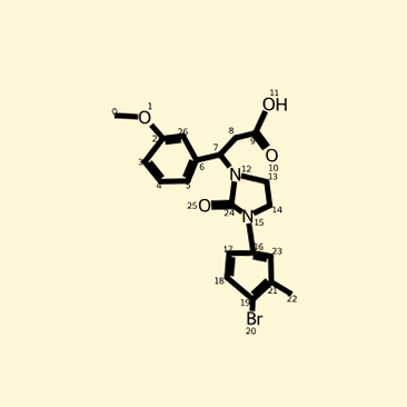 COc1cccc(C(CC(=O)O)N2CCN(c3ccc(Br)c(C)c3)C2=O)c1